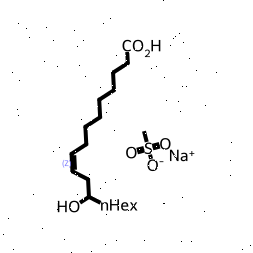 CCCCCCC(O)C/C=C\CCCCCCCC(=O)O.CS(=O)(=O)[O-].[Na+]